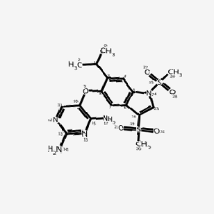 CC(C)c1cc2c(cc1Oc1cnc(N)nc1N)c(S(C)(=O)=O)cn2S(C)(=O)=O